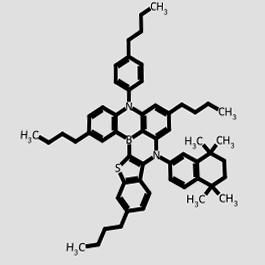 CCCCc1ccc(N2c3ccc(CCCC)cc3B3c4sc5cc(CCCC)ccc5c4N(c4ccc5c(c4)C(C)(C)CCC5(C)C)c4cc(CCCC)cc2c43)cc1